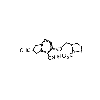 N#Cc1c(OCC2CCCN2C(=O)O)ccc2c1CC(C=O)C2